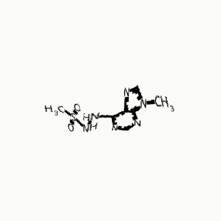 Cn1cnc2c(NNS(C)(=O)=O)ncnc21